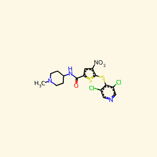 CN1CCC(NC(=O)c2cc([N+](=O)[O-])c(Sc3c(Cl)cncc3Cl)s2)CC1